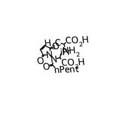 CC(N)C(=O)O.CCCCCC(=O)N(C(C(=O)O)C(C)C)N1C(=O)C=CC1=O